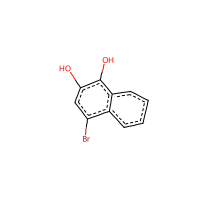 Oc1cc(Br)c2ccccc2c1O